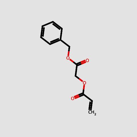 C=CC(=O)OCC(=O)OCc1ccccc1